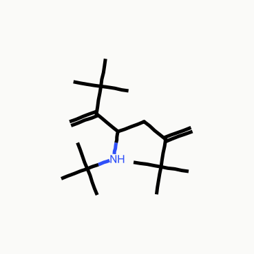 C=C(CC(NC(C)(C)C)C(=C)C(C)(C)C)C(C)(C)C